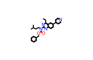 CCc1nc(N(CCC(C)C)C(=O)OCc2ccccc2)nc2ccc(-c3ccncc3)cc12